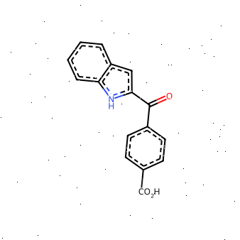 O=C(O)c1ccc(C(=O)c2cc3ccccc3[nH]2)cc1